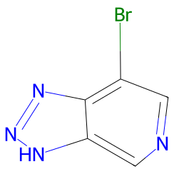 Brc1cncc2[nH]nnc12